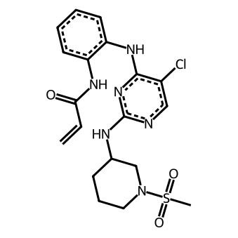 C=CC(=O)Nc1ccccc1Nc1nc(NC2CCCN(S(C)(=O)=O)C2)ncc1Cl